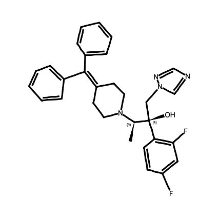 C[C@@H](N1CCC(=C(c2ccccc2)c2ccccc2)CC1)[C@](O)(Cn1cncn1)c1ccc(F)cc1F